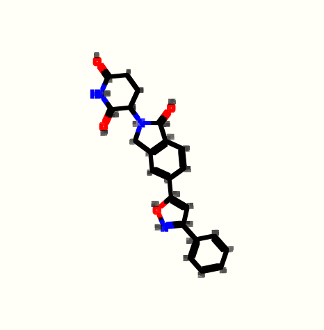 O=C1CCC(N2Cc3cc(-c4cc(-c5ccccc5)no4)ccc3C2=O)C(=O)N1